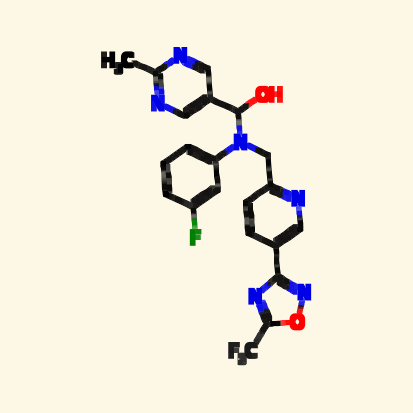 Cc1ncc(C(O)N(Cc2ccc(-c3noc(C(F)(F)F)n3)cn2)c2cccc(F)c2)cn1